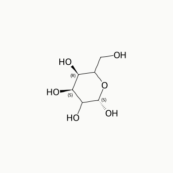 OCC1O[C@H](O)C(O)[C@@H](O)[C@H]1O